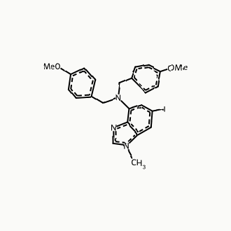 COc1ccc(CN(Cc2ccc(OC)cc2)c2cc(I)cc3c2ncn3C)cc1